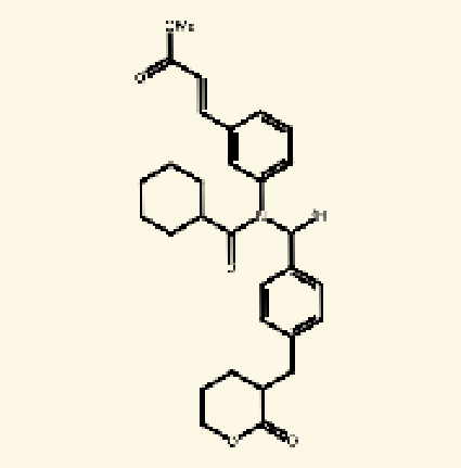 [2H]C(c1ccc(CC2CCCOC2=O)cc1)N(C(=O)C1CCCCC1)c1cccc(/C=C/C(=O)OC)c1